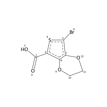 O=C(O)c1sc(Br)c2c1OCCO2